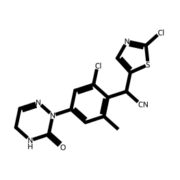 Cc1cc(N2N=CCNC2=O)cc(Cl)c1C(C#N)c1cnc(Cl)s1